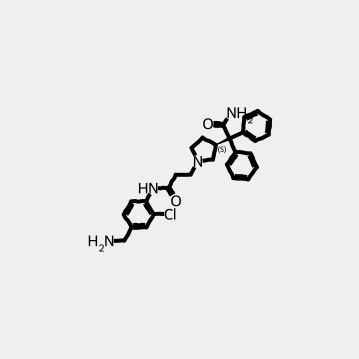 NCc1ccc(NC(=O)CCN2CC[C@@H](C(C(N)=O)(c3ccccc3)c3ccccc3)C2)c(Cl)c1